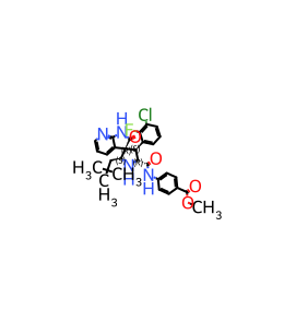 COC(=O)c1ccc(NC(=O)[C@@H]2N[C@@H](CC(C)(C)C)[C@@]3(C(=O)Nc4ncccc43)[C@H]2c2cccc(Cl)c2F)cc1